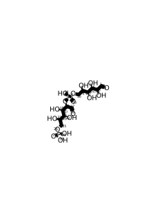 O=C[C@@H](O)[C@@H](O)[C@H](O)[C@H](O)COP(=O)(O)O[C@@H](C=O)[C@@H](O)[C@H](O)[C@H](O)COP(=O)(O)O